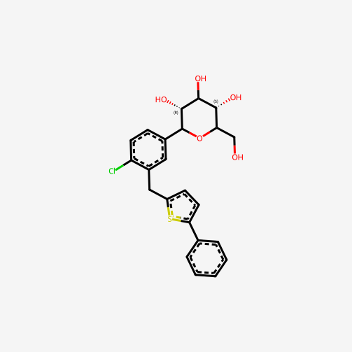 OCC1OC(c2ccc(Cl)c(Cc3ccc(-c4ccccc4)s3)c2)[C@H](O)C(O)[C@@H]1O